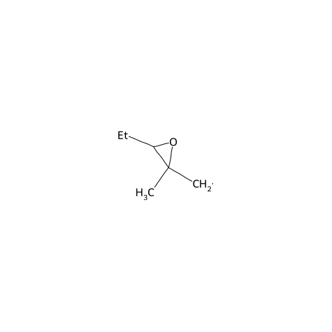 [CH2]C1(C)OC1CC